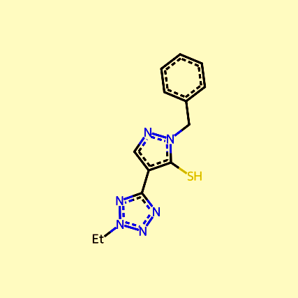 CCn1nnc(-c2cnn(Cc3ccccc3)c2S)n1